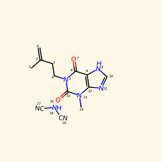 C=C(C)CCn1c(=O)c2[nH]cnc2n(C)c1=O.N#CNC#N